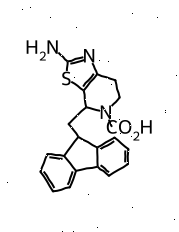 Nc1nc2c(s1)C(CC1c3ccccc3-c3ccccc31)N(C(=O)O)CC2